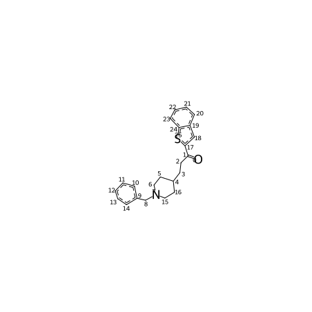 O=C(CCC1CCN(Cc2ccccc2)CC1)c1cc2ccccc2s1